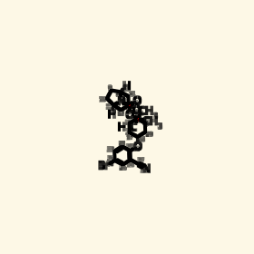 CC(C)(C)OC(=O)N1[C@@H]2CC[C@H]1C[C@H](O[C@H]1CC[C@H](Oc3ccc(Br)cc3C#N)CC1)C2